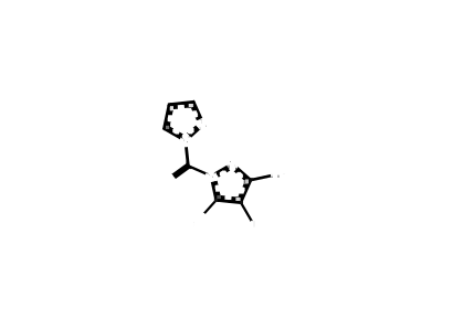 CCCc1nn(C(=O)n2cccn2)c(C)c1C(C)C